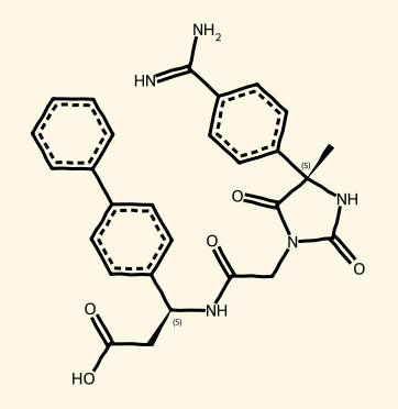 C[C@@]1(c2ccc(C(=N)N)cc2)NC(=O)N(CC(=O)N[C@@H](CC(=O)O)c2ccc(-c3ccccc3)cc2)C1=O